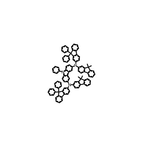 CC1(C)c2ccccc2-c2ccc(N(c3ccc4c(c3)C(c3ccccc3)(c3ccccc3)c3ccccc3-4)c3ccc4c(c3)c3cc(N(c5ccc6c(c5)C(C)(C)c5ccccc5-6)c5ccc6c(c5)C(c5ccccc5)(c5ccccc5)c5ccccc5-6)ccc3n4-c3ccccc3)cc21